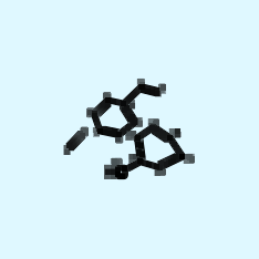 C=C.C=Cc1ccccc1.Oc1ccccc1